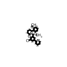 COc1cccc(OC)c1C1CCCC(=O)N1Cc1cc(Cl)cc(-c2ccccn2)c1